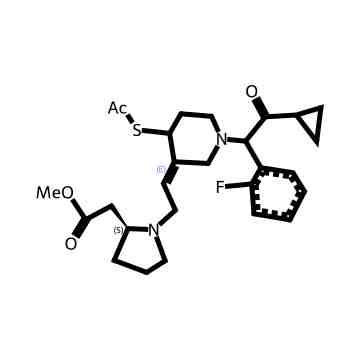 COC(=O)C[C@@H]1CCCN1C/C=C1\CN(C(C(=O)C2CC2)c2ccccc2F)CCC1SC(C)=O